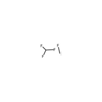 FC(F)F.[C]F